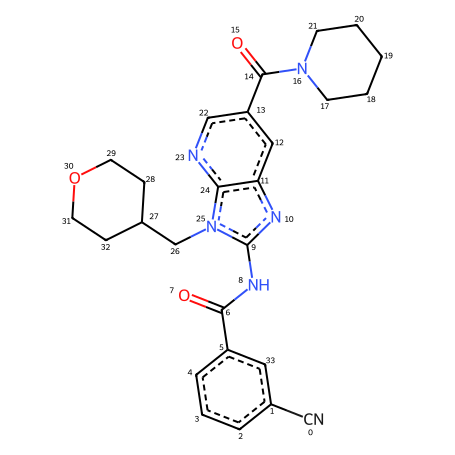 N#Cc1cccc(C(=O)Nc2nc3cc(C(=O)N4CCCCC4)cnc3n2CC2CCOCC2)c1